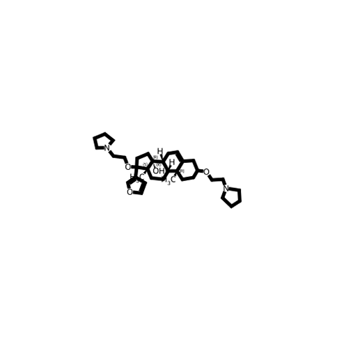 C[C@]12CCC(OCCN3CCCC3)CC1=CC[C@@H]1[C@H]2CC[C@]2(C)C(OCCN3CCCC3)(c3ccoc3)CC[C@@]12O